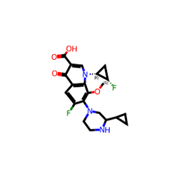 COc1c(N2CCNC(C3CC3)C2)c(F)cc2c(=O)c(C(=O)O)cn([C@@H]3C[C@@H]3F)c12